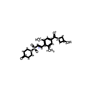 Cc1cc(C(=O)N2CC(O)C2)cc(C)c1/C=C/S(=O)(=O)N1CCC(=O)CC1